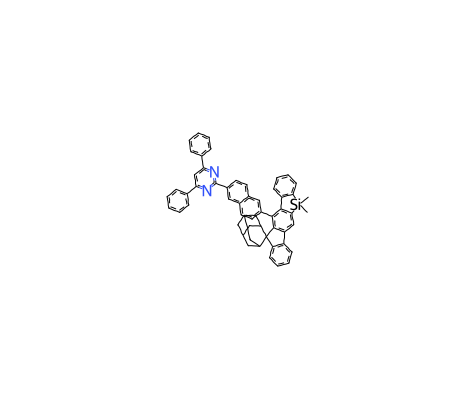 C[Si]1(C)c2ccccc2-c2c1cc1c(c2-c2ccc3cc(-c4nc(-c5ccccc5)cc(-c5ccccc5)n4)ccc3c2)C2(c3ccccc3-1)C1CC3CC(C1)CC2C3